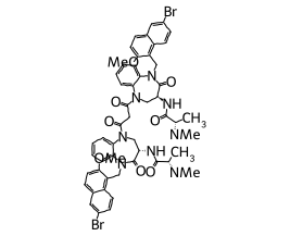 CN[C@@H](C)C(=O)N[C@H]1CN(C(=O)CC(=O)N2C[C@H](NC(=O)[C@H](C)NC)C(=O)N(Cc3c(OC)ccc4cc(Br)ccc34)c3ccccc32)c2ccccc2N(Cc2c(OC)ccc3cc(Br)ccc23)C1=O